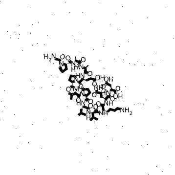 CC(C)C[C@H](NC(=O)[C@@H]1CCCN1C(=O)[C@@H](NC(=O)[C@@H]1CCCN1C(=O)[C@H](CCC(=O)O)NC(=O)[C@H](C)NC(=O)[C@H](C)NC(=O)[C@@H]1CCCN1C(=O)CN)C(C)C)C(=O)N[C@H](C(=O)N[C@@H](CCCCN)C(=O)N[C@@H](CCC(N)=O)C(=O)N[C@@H](CC(=O)O)C(=O)O)C(C)C